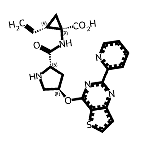 C=C[C@@H]1C[C@]1(NC(=O)[C@@H]1C[C@@H](Oc2nc(-c3ccccn3)nc3ccsc23)CN1)C(=O)O